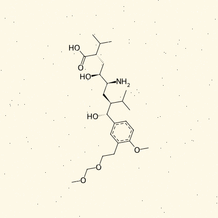 COCOCCc1cc([C@H](O)[C@@H](C[C@H](N)[C@@H](O)C[C@H](C(=O)O)C(C)C)C(C)C)ccc1OC